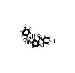 Cc1ccc(S(=O)(=O)Nc2ccc(Cl)c(N(C)C3CCNCC3)c2)cc1